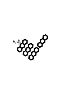 S.S.c1ccc2cc3ccccc3cc2c1.c1ccc2cc3ccccc3cc2c1.c1ccc2cc3ccccc3cc2c1.c1ccc2cc3ccccc3cc2c1